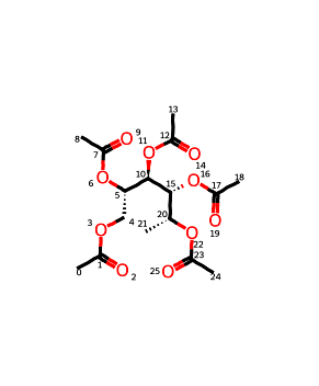 CC(=O)OC[C@H](OC(C)=O)[C@@H](OC(C)=O)[C@H](OC(C)=O)[C@@H](C)OC(C)=O